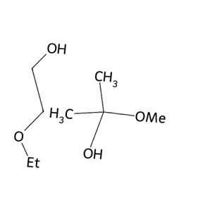 CCOCCO.COC(C)(C)O